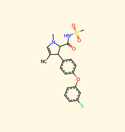 CN1C=C(C#N)C(c2ccc(Oc3cccc(F)c3)cc2)C1C(=O)NS(C)(=O)=O